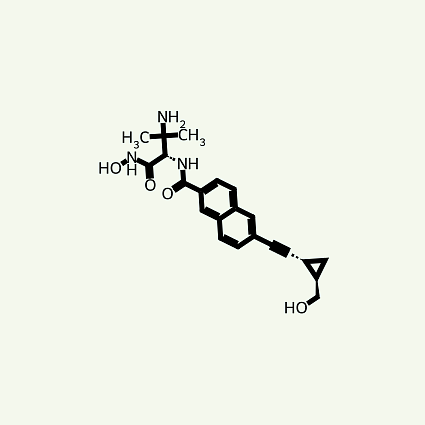 CC(C)(N)[C@H](NC(=O)c1ccc2cc(C#C[C@@H]3C[C@H]3CO)ccc2c1)C(=O)NO